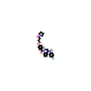 CC(=O)N(c1ccc(Cl)cc1)[C@@H]1C[C@H](C)N(C(=O)c2ccc(OCCCC(=O)N3CCCC3)cc2)c2ccccc21